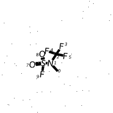 CN(C(F)(F)F)S(=O)(=O)F